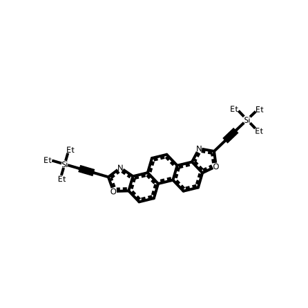 CC[Si](C#Cc1nc2c(ccc3c4ccc5oc(C#C[Si](CC)(CC)CC)nc5c4ccc32)o1)(CC)CC